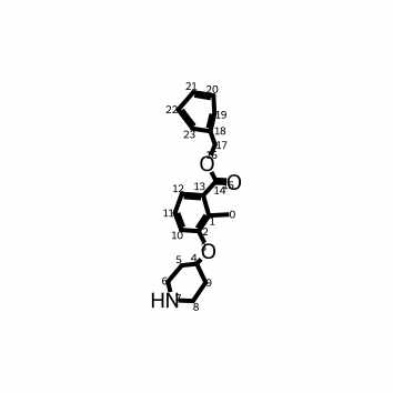 Cc1c(OC2CCNCC2)cccc1C(=O)OCc1ccccc1